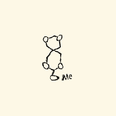 COC1OCC2(COCOC2)CO1